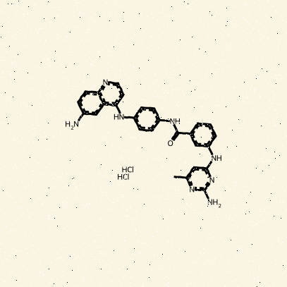 Cc1cc(Nc2cccc(C(=O)Nc3ccc(Nc4ccnc5ccc(N)cc45)cc3)c2)nc(N)n1.Cl.Cl